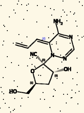 C=C/C=C1/C(N)=NC=NN1[C@]1(C#N)O[C@H](CO)C[C@H]1O